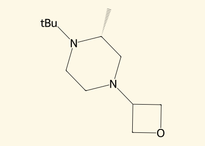 C[C@@H]1CN(C2COC2)CCN1C(C)(C)C